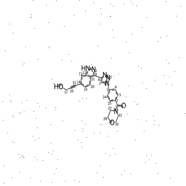 O=C(c1ccc(-n2cc(-c3n[nH]c4cc(C#CCO)ccc34)nn2)cc1)N1CCOCC1